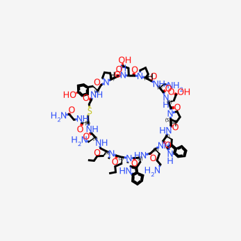 CCCC[C@H]1C(=O)N(C)[C@@H](CCCC)C(=O)N[C@@H](CN)C(=O)N[C@H](C(=O)NCC(N)=O)CSCC(=O)N[C@@H](Cc2ccc(O)cc2)C(=O)N2CCC[C@H]2C(=O)NC(CC(=O)O)C(=O)N2CCC[C@H]2C(=O)N[C@@H](CN)C(=O)N[C@@H](CC(=O)O)C(=O)N2CCC[C@H]2C(=O)N[C@@H](Cc2c[nH]c3ccccc23)C(=O)N[C@@H](CCCN)C(=O)N[C@@H](Cc2c[nH]c3ccccc23)C(=O)N1C